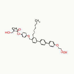 C=C(CO)C(=O)Oc1ccc(OCc2ccc(-c3ccc(-c4ccc(OCCOO)cc4)cc3)cc2CCCCCCC)cc1